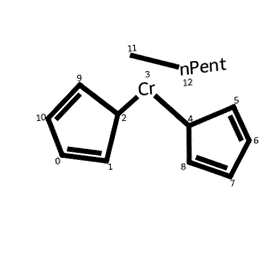 C1=C[CH]([Cr][CH]2C=CC=C2)C=C1.CCCCCC